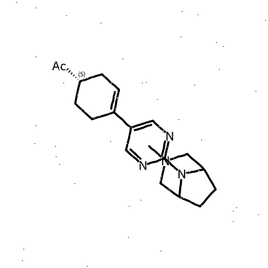 CC(=O)[C@@H]1CC=C(c2cnc(N3C4CCC3CN(C)C4)nc2)CC1